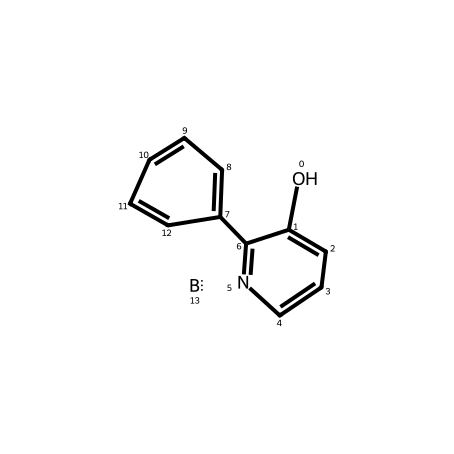 Oc1cccnc1-c1ccccc1.[B]